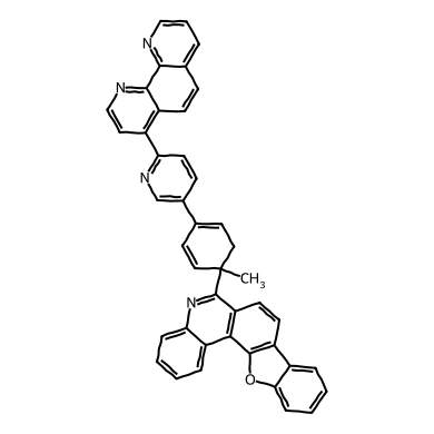 CC1(c2nc3ccccc3c3c2ccc2c4ccccc4oc23)C=CC(c2ccc(-c3ccnc4c3ccc3cccnc34)nc2)=CC1